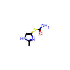 Cc1nc(SC(N)=O)c[nH]1